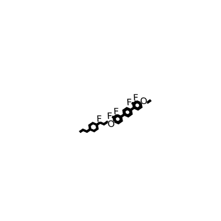 CCCC1CCC(C(F)CCOc2ccc(-c3ccc(-c4ccc(OCC)c(F)c4F)cc3)c(F)c2F)CC1